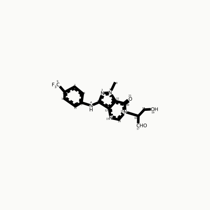 Cn1nc(Nc2ccc(C(F)(F)F)cc2)c2ncn(C(C=O)CO)c(=O)c21